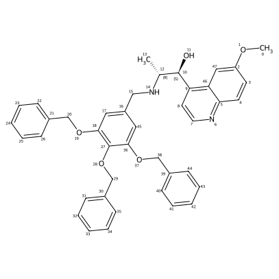 COc1ccc2nccc([C@H](O)[C@@H](C)NCc3cc(OCc4ccccc4)c(OCc4ccccc4)c(OCc4ccccc4)c3)c2c1